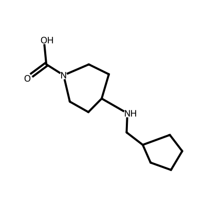 O=C(O)N1CCC(NCC2CCCC2)CC1